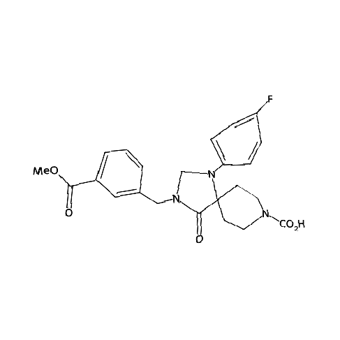 COC(=O)c1cccc(CN2CN(c3ccc(F)cc3)C3(CCN(C(=O)O)CC3)C2=O)c1